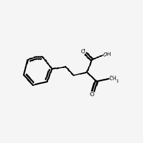 CC(=O)C(CCc1ccccc1)C(=O)O